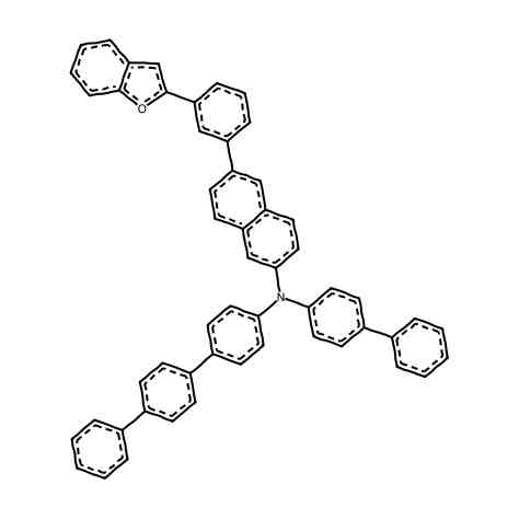 c1ccc(-c2ccc(-c3ccc(N(c4ccc(-c5ccccc5)cc4)c4ccc5cc(-c6cccc(-c7cc8ccccc8o7)c6)ccc5c4)cc3)cc2)cc1